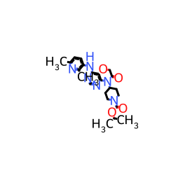 Cc1ccc(Nc2ncnc3c2OCC(=O)N3C2CCN(C(=O)OC(C)C)CC2)c(C)n1